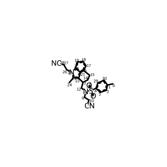 Cc1ccc(S(=O)(=O)N(CCC#N)CC2CCc3cccc4c3c2c(C)n4CCC#N)cc1